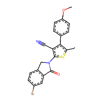 COc1ccc(-c2c(C)sc(N3Cc4ccc(Br)cc4C3=O)c2C#N)cc1